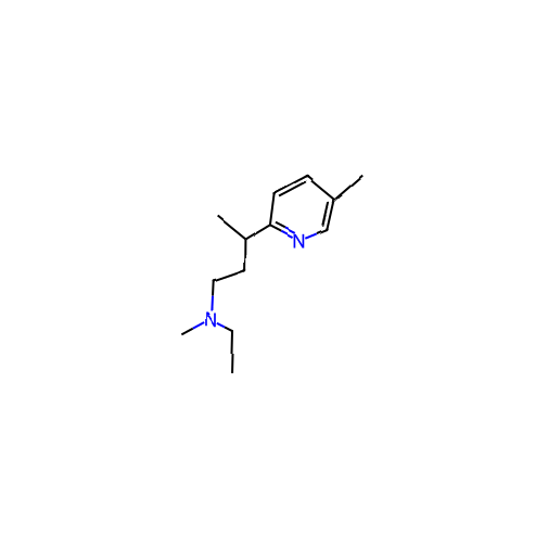 CCN(C)CCC(C)c1ccc(C)cn1